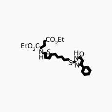 CCOC(=O)CC[C@H](Nc1ccc(CCCCCSc2nc(-c3ccccc3)cc(=O)[nH]2)s1)C(=O)OCC